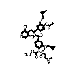 CN(C)CCS(=O)(=O)N(C(=O)OC(C)(C)C)c1ccc(C(=O)OC(Cc2c(Cl)cncc2Cl)c2ccc(OC(F)F)c(OCC3CC3)c2)cc1OCC1CC1